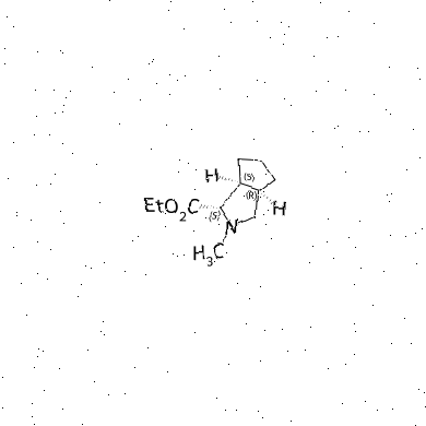 CCOC(=O)[C@@H]1[C@H]2CCC[C@H]2CN1C